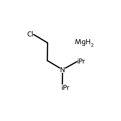 CC(C)N(CCCl)C(C)C.[MgH2]